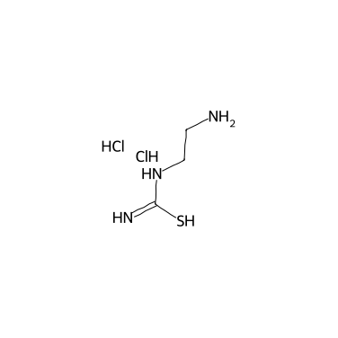 Cl.Cl.N=C(S)NCCN